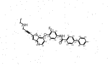 CCNCC#Cc1cc2nccc(Oc3ccc(NC(=O)c4ccc(-c5ccccc5)cc4)cc3F)c2s1